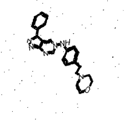 c1ccc(-c2nnc3ncn(Nc4ccc(CCN5CCOCC5)cc4)cc2-3)cc1